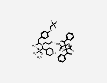 CCCN(C(C)Cc1ccc(OCC(F)(F)F)cc1)C(C1CCNCC1)S(C)(=O)=O.O.O=C(O)C(O)(C(=O)c1ccccc1)C(O)(C(=O)O)C(=O)c1ccccc1